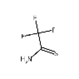 NC(=S)C(F)(F)F